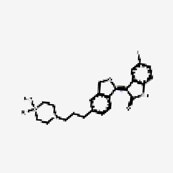 O=C1Nc2ccc(F)cc2/C1=C1\OCc2cc(CCCN3CCS(O)(O)CC3)ccc21